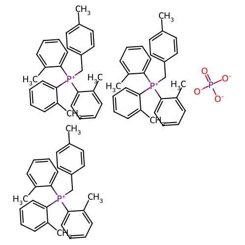 Cc1ccc(C[P+](c2ccccc2C)(c2ccccc2C)c2ccccc2C)cc1.Cc1ccc(C[P+](c2ccccc2C)(c2ccccc2C)c2ccccc2C)cc1.Cc1ccc(C[P+](c2ccccc2C)(c2ccccc2C)c2ccccc2C)cc1.O=P([O-])([O-])[O-]